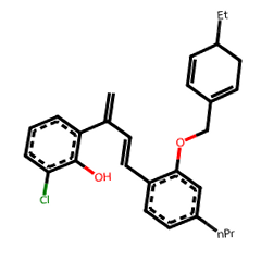 C=C(/C=C/c1ccc(CCC)cc1OCC1=CCC(CC)C=C1)c1cccc(Cl)c1O